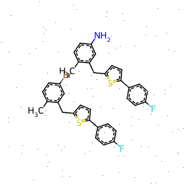 Cc1ccc(Br)cc1Cc1ccc(-c2ccc(F)cc2)s1.Cc1ccc(N)cc1Cc1ccc(-c2ccc(F)cc2)s1